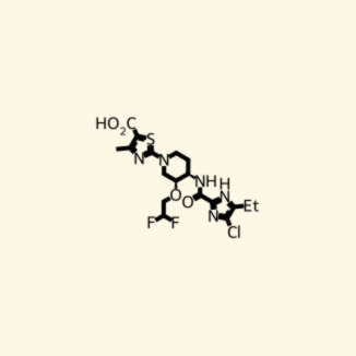 CCc1[nH]c(C(=O)N[C@@H]2CCN(c3nc(C)c(C(=O)O)s3)C[C@@H]2OCC(F)F)nc1Cl